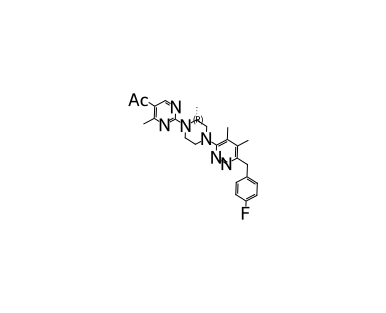 CC(=O)c1cnc(N2CCN(c3nnc(Cc4ccc(F)cc4)c(C)c3C)C[C@H]2C)nc1C